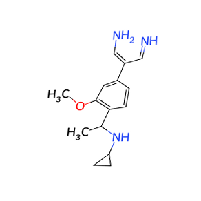 COc1cc(/C(C=N)=C/N)ccc1C(C)NC1CC1